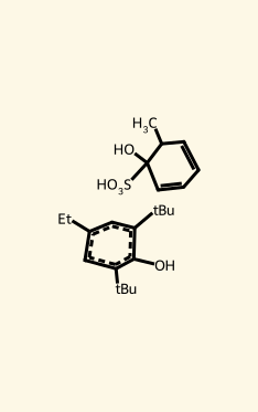 CC1C=CC=CC1(O)S(=O)(=O)O.CCc1cc(C(C)(C)C)c(O)c(C(C)(C)C)c1